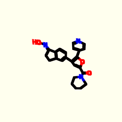 O=C(c1cc(-c2ccc3c(c2)CC/C3=N\O)c(-c2ccncc2)o1)N1CCCCC1